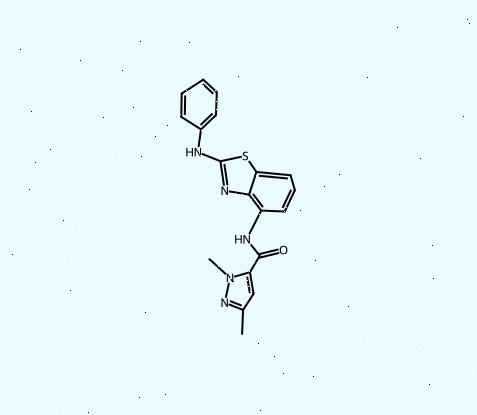 Cc1cc(C(=O)Nc2cccc3sc(Nc4ccccc4)nc23)n(C)n1